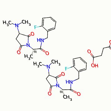 C[C@@H](C(=O)NCc1ccccc1F)N1C(=O)CC(N(C)C)C1=O.C[C@@H](C(=O)NCc1ccccc1F)N1C(=O)CC(N(C)C)C1=O.O=C(O)CCC(=O)O